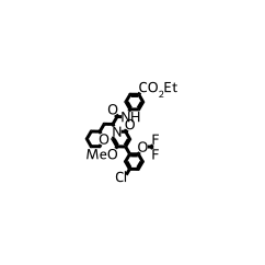 CCOC(=O)c1ccc(NC(=O)C(CC2CCCCO2)n2cc(OC)c(-c3cc(Cl)ccc3OC(F)F)cc2=O)cc1